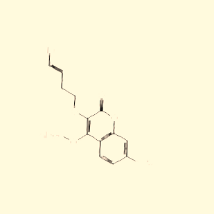 CCC=CCCOc1c(OCCCCCCCCCC)c2ccc(OC(C)=O)cc2oc1=O